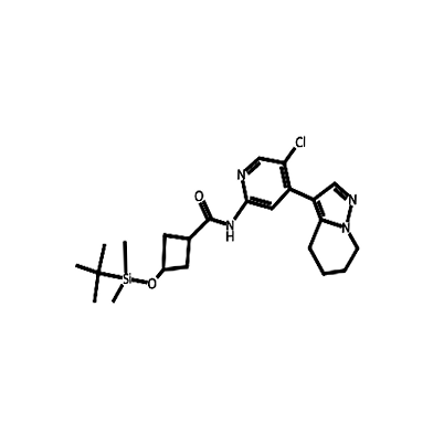 CC(C)(C)[Si](C)(C)OC1CC(C(=O)Nc2cc(-c3cnn4c3CCCC4)c(Cl)cn2)C1